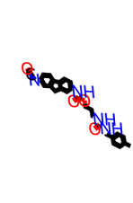 Cc1ccc(CNC(=O)NCCCOC(=O)Nc2ccc3c(c2)Cc2cc(N=C=O)ccc2-3)cc1